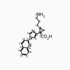 NCCC[C@H]1C[C@]1(C(=O)O)c1cn(-c2ccc3ccccc3n2)cn1